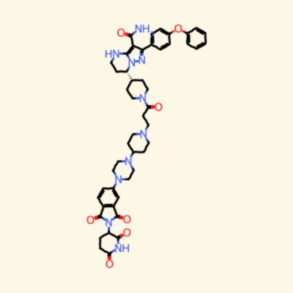 NC(=O)c1c(-c2ccc(Oc3ccccc3)cc2)nn2c1NCC[C@H]2C1CCN(C(=O)CCN2CCC(N3CCN(c4ccc5c(c4)C(=O)N(C4CCC(=O)NC4=O)C5=O)CC3)CC2)CC1